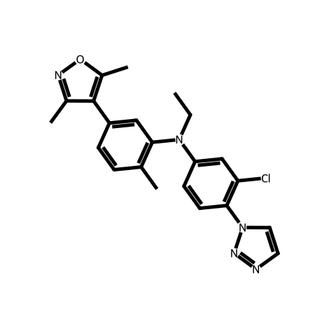 CCN(c1ccc(-n2ccnn2)c(Cl)c1)c1cc(-c2c(C)noc2C)ccc1C